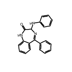 O=C1Nc2ccccc2C(c2ccccc2)=NC1Nc1ccccc1